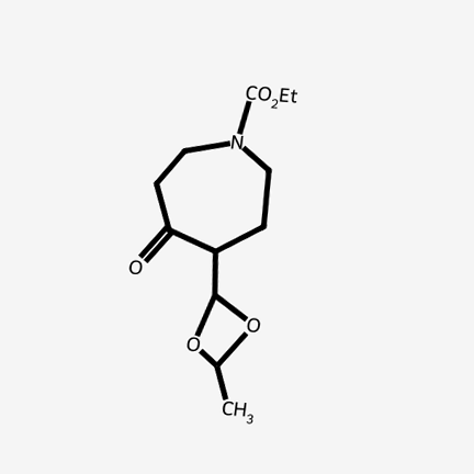 CCOC(=O)N1CCC(=O)C(C2OC(C)O2)CC1